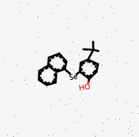 CC(C)(C)c1ccc(O)c([Se]c2cccc3ccccc23)c1